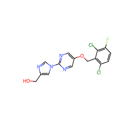 OCc1cn(-c2ncc(OCc3c(Cl)ccc(F)c3Cl)cn2)cn1